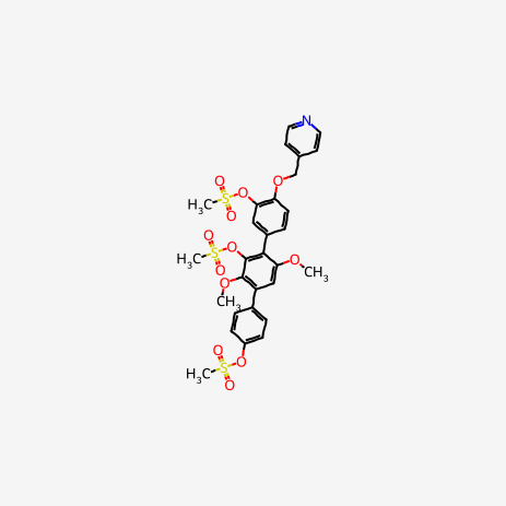 COc1cc(-c2ccc(OS(C)(=O)=O)cc2)c(OC)c(OS(C)(=O)=O)c1-c1ccc(OCc2ccncc2)c(OS(C)(=O)=O)c1